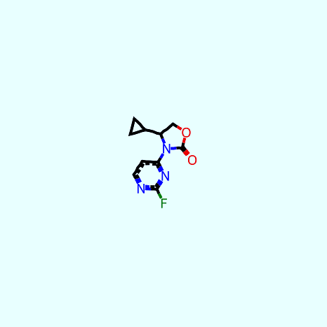 O=C1OCC(C2CC2)N1c1ccnc(F)n1